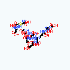 CC(C)C[C@H](NNCCCC(=O)O)C(=O)O.CC(CNN[C@@H](CCCCN)C(=O)O)C(=O)O.C[C@H](N)C(=O)O.C[C@H](N)C(=O)O.NC(CSSC[C@H](NNCCCC(=O)O)C(=O)O)C(=O)O.NCC(=O)O.O=C(O)CCCC(NN[C@@H](Cc1c[nH]cn1)C(=O)O)C(=O)O